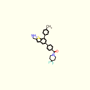 Cc1ccc(-c2cc(-c3ccc(C(=O)N4CCC(F)(F)CC4)cc3)cc3cc(CN)sc23)cc1